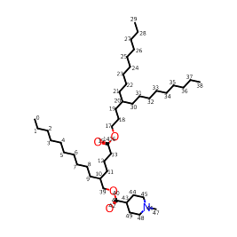 CCCCCCCCCCC(CCCC(=O)OCCCC(CCCCCCCCC)CCCCCCCCC)COC(=O)C1CCN(C)CC1